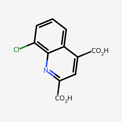 O=C(O)c1cc(C(=O)O)c2cccc(Cl)c2n1